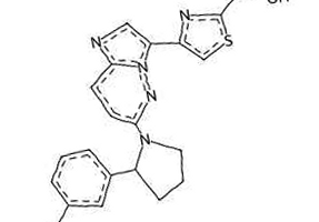 OCc1nc(-c2cnc3ccc(N4CCCC4c4cccc(F)c4)nn23)cs1